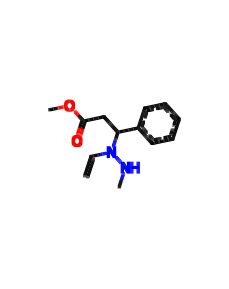 C=CN(NC)C(CC(=O)OC)c1ccccc1